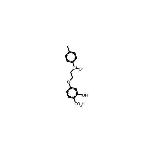 Cc1ccc([S+]([O-])CCOc2ccc(C(=O)O)c(O)c2)cc1